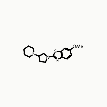 COc1ccc2nc(N3CCC(N4CCCCC4)C3)sc2c1